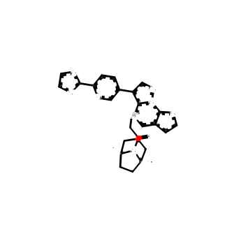 O=C(CO)N1[C@@H]2CC[C@H]1C[C@H](c1nc3c(-c4ccc(-c5ncc[nH]5)nc4)cnn3c3[nH]ccc13)C2